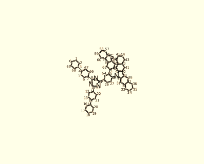 c1ccc(-c2ccc(-c3nc(-c4ccc(-c5ccccc5)cc4)nc(-c4ccc(-n5c6cc7ccccc7cc6c6cc7ccccc7cc65)c(-c5ccc6sc7ccccc7c6c5)c4)n3)cc2)cc1